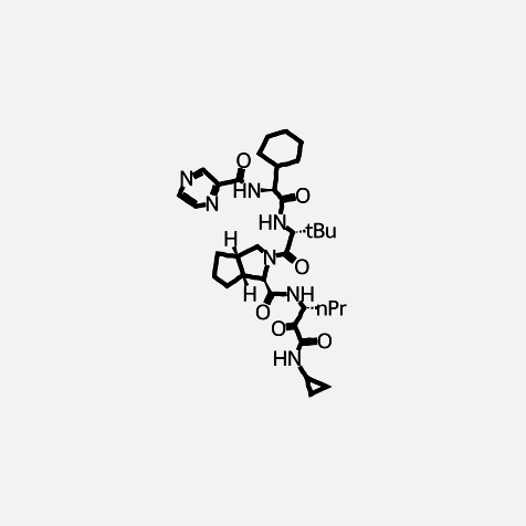 CCC[C@@H](NC(=O)[C@H]1[C@@H]2CCC[C@@H]2CN1C(=O)[C@H](NC(=O)[C@@H](NC(=O)c1cnccn1)C1CCCCC1)C(C)(C)C)C(=O)C(=O)NC1CC1